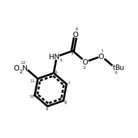 CC(C)(C)OOC(=O)Nc1ccccc1[N+](=O)[O-]